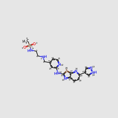 CS(=O)(=O)NCCNCc1ccnc(Nc2nc3ccc(-c4cn[nH]c4)nc3s2)c1